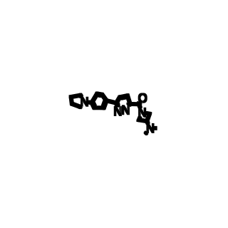 CN(C)C1CN(C(=O)c2ccc(-c3ccc(N4CCCC4)cc3)nn2)C1